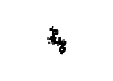 CN1CCN(c2ccnc3[nH]c(-c4n[nH]c5c(F)cc(-c6cncc(N(C)C)c6)cc45)nc23)CC1